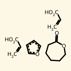 C=CC(=O)O.C=CC(=O)O.O=C1CCCCCO1.c1ccoc1